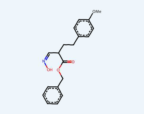 COc1ccc(CCC(/C=N\O)C(=O)OCc2ccccc2)cc1